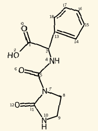 O=C(O)C(NC(=O)N1CCNC1=O)c1ccccc1